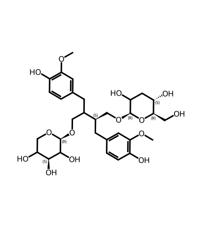 COc1cc(CC(CO[C@@H]2OCC(O)[C@H](O)C2O)[C@@H](CO[C@@H]2O[C@H](CO)[C@@H](O)CC2O)Cc2ccc(O)c(OC)c2)ccc1O